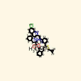 CC(N)(Cc1ccccc1)C(=O)OC(C)(C)c1ccccc1CC[C@@H](SCC1CC1)c1cccc(/C=C/c2ccc3ccc(Cl)cc3n2)c1